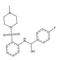 CN1CCN(S(=O)(=O)c2ccccc2NC(O)c2ccc(F)cc2)CC1